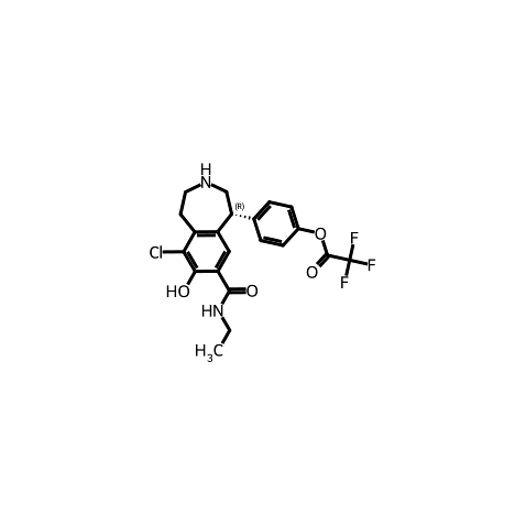 CCNC(=O)c1cc2c(c(Cl)c1O)CCNC[C@@H]2c1ccc(OC(=O)C(F)(F)F)cc1